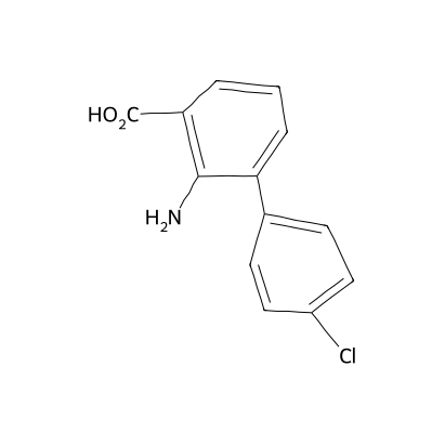 Nc1c(C(=O)O)cccc1-c1ccc(Cl)cc1